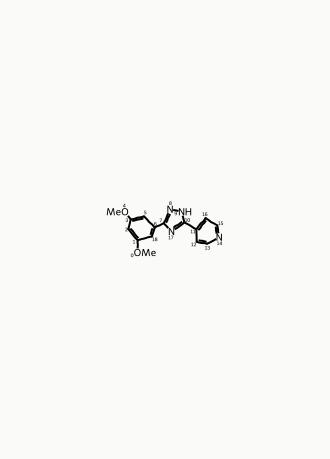 COc1cc(OC)cc(-c2n[nH]c(-c3ccncc3)n2)c1